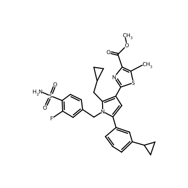 COC(=O)c1nc(-c2cc(-c3cccc(C4CC4)c3)n(Cc3ccc(S(N)(=O)=O)c(F)c3)c2CC2CC2)sc1C